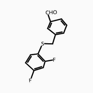 O=Cc1cccc(CSc2ccc(F)cc2F)c1